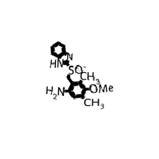 COc1c(C)cc(N)c(C[S+]([O-])c2nc3ccccc3[nH]2)c1C